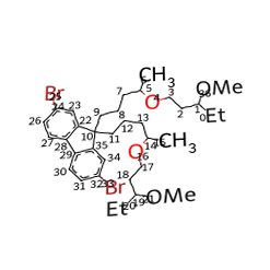 CCC(CCOC(C)CCCC1(CCCC(C)OCCC(CC)OC)c2cc(Br)ccc2-c2ccc(Br)cc21)OC